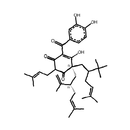 C=C(C)[C@@H](CC=C(C)C)C[C@]1(CC(CC=C(C)C)C(C)(C)C)C(=O)C(CC=C(C)C)C(=O)C(C(=O)c2ccc(O)c(O)c2)=C1O